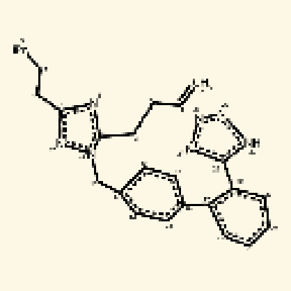 C=CCCc1nc(CCC(C)C)nn1Cc1ccc(-c2ccccc2-c2nnn[nH]2)cc1